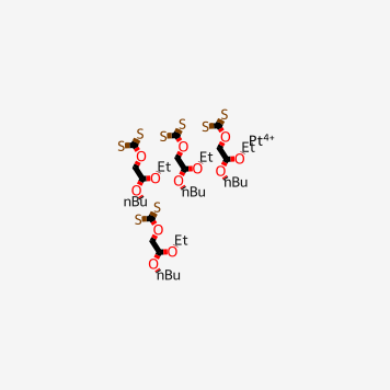 CCCCOC(COC(=S)[S-])OCC.CCCCOC(COC(=S)[S-])OCC.CCCCOC(COC(=S)[S-])OCC.CCCCOC(COC(=S)[S-])OCC.[Pt+4]